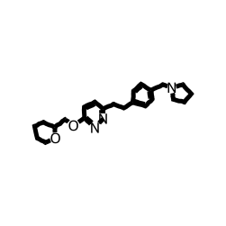 c1cc(CN2CCCC2)ccc1CCc1ccc(OCC2CCCCO2)nn1